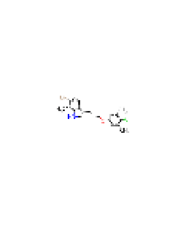 Cc1cc(OCCCc2c[nH]c3c(C)c(Br)ccc23)cc(C)c1Cl